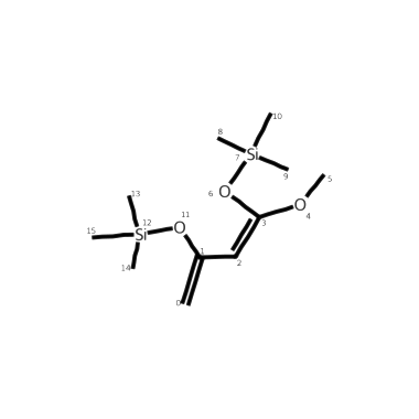 C=C(C=C(OC)O[Si](C)(C)C)O[Si](C)(C)C